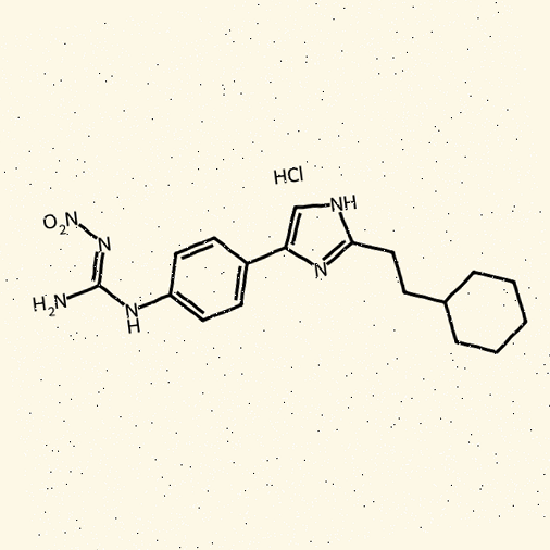 Cl.NC(=N[N+](=O)[O-])Nc1ccc(-c2c[nH]c(CCC3CCCCC3)n2)cc1